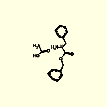 NC(=O)O.N[C@@H](Cc1ccccc1)C(=O)OCc1ccccc1